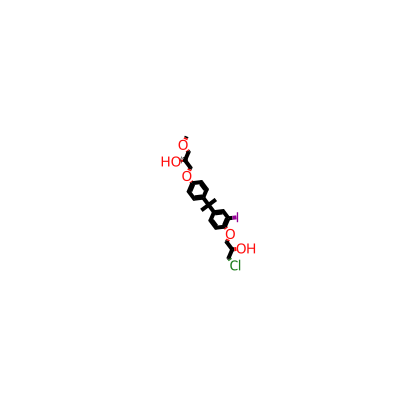 COC[C@H](O)COc1ccc(C(C)(C)c2ccc(OCC(O)CCl)c(I)c2)cc1